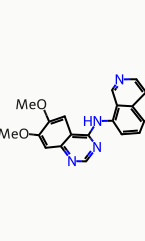 COc1cc2ncnc(Nc3cccc4ccncc34)c2cc1OC